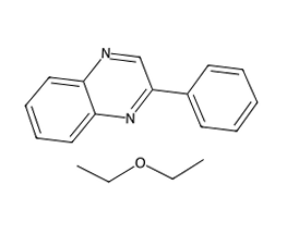 CCOCC.c1ccc(-c2cnc3ccccc3n2)cc1